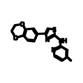 Cc1ccnc(Nc2nc(-c3ccc4c(c3)OCCO4)cs2)c1